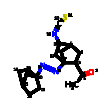 CC(=O)C1CC2CC1(N=NC13CCC(CC1)C3)CC2N=C=S